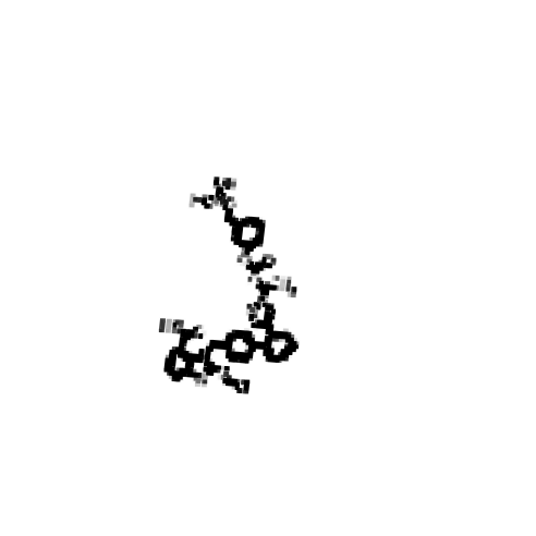 CCOc1nc2cccc(C(=O)O)c2n1Cc1ccc(-c2ccccc2-c2nnn(C(C)OC(=O)Oc3cccc(CON(O)O)c3)n2)cc1